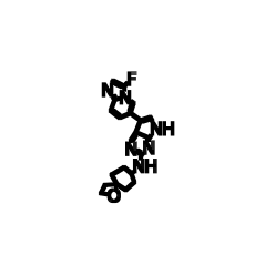 Fc1cnc2ccc(-c3c[nH]c4nc(NC5CCC6(CCO6)CC5)ncc34)cn12